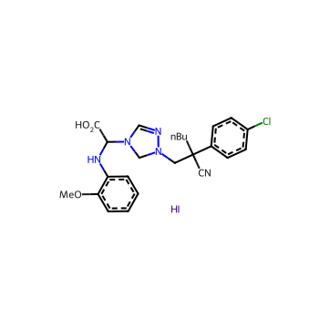 CCCCC(C#N)(CN1CN(C(Nc2ccccc2OC)C(=O)O)C=N1)c1ccc(Cl)cc1.I